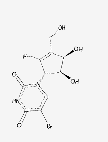 O=c1[nH]c(=O)n([C@@H]2C(F)=C(CO)[C@@H](O)[C@H]2O)cc1Br